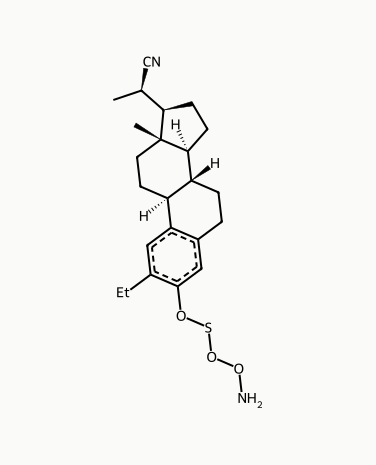 CCc1cc2c(cc1OSOON)CC[C@@H]1[C@@H]2CC[C@]2(C)[C@@H]([C@@H](C)C#N)CC[C@@H]12